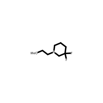 COCCN1C[CH]CC(F)(F)C1